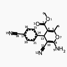 COC(=O)C1=C(C)OC(N)=C(C#N)C1c1ccc(C#N)cc1